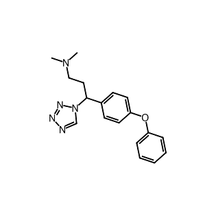 CN(C)CCC(c1ccc(Oc2ccccc2)cc1)n1cnnn1